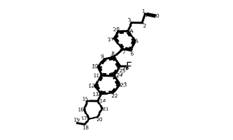 C=CCCc1ccc(-c2ccc3cc(C4CCC(CC)CC4)ccc3c2F)cc1